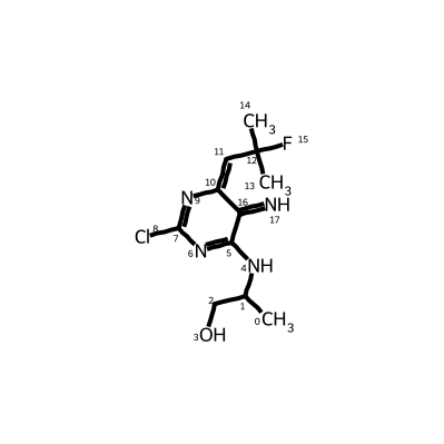 CC(CO)NC1=NC(Cl)=N/C(=C/C(C)(C)F)C1=N